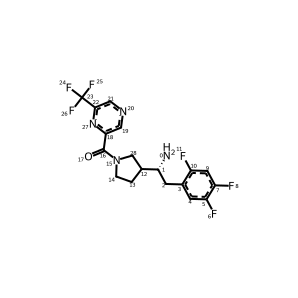 N[C@H](Cc1cc(F)c(F)cc1F)C1CCN(C(=O)c2cncc(C(F)(F)F)n2)C1